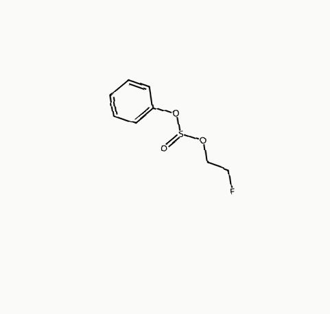 O=S(OCCF)Oc1ccccc1